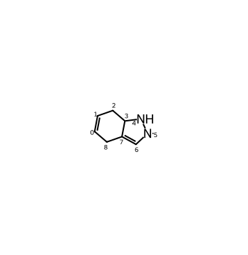 C1=CCC2N[N]C=C2C1